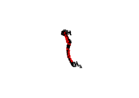 CCCCCCCCCCCCC#CC#CCCCCCCCCCC(=O)O